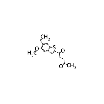 C=Cc1cc2sc(C(=O)CCC(C)=O)cc2cc1OC